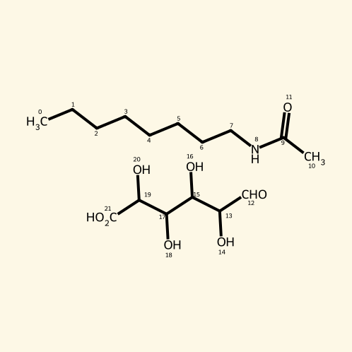 CCCCCCCCNC(C)=O.O=CC(O)C(O)C(O)C(O)C(=O)O